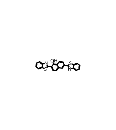 Oc1c(-c2nc3ccccc3s2)ccc2cc(-c3nc4ccccc4s3)ccc12